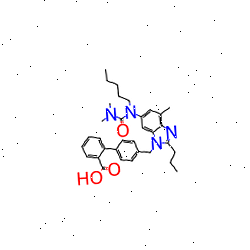 CCCCCN(C(=O)N(C)C)c1cc(C)c2nc(CCC)n(Cc3ccc(-c4ccccc4C(=O)O)cc3)c2c1